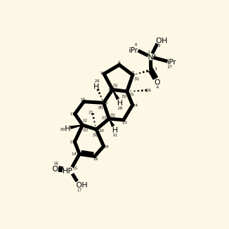 CC(C)[N+](O)(C(=O)[C@H]1CC[C@H]2[C@@H]3CC[C@H]4CC([PH](=O)O)=CC[C@]4(C)[C@H]3CC[C@]12C)C(C)C